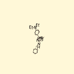 Br.CCN(CC)c1ccc(-c2csc(NCc3ccccc3)n2)cc1